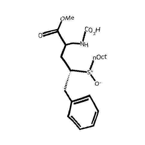 CCCCCCCC[S+]([O-])[C@H](Cc1ccccc1)CC(NC(=O)O)C(=O)OC